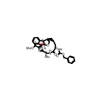 COC(=O)c1nc2oc1[C@@]13c4ccccc4N[C@@H]1Oc1ccc(cc13)C[C@H](NC(=O)OCc1ccccc1)C(=O)N[C@H]2C(C)(C)C